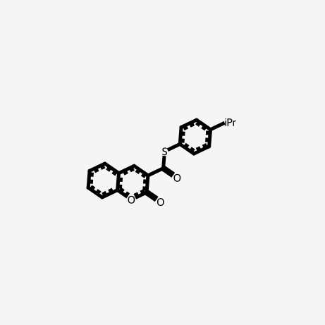 CC(C)c1ccc(SC(=O)c2cc3ccccc3oc2=O)cc1